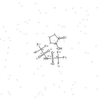 O=C1CCCN1O.O=S(=O)(NS(=O)(=O)C(F)(F)F)C(F)(F)F